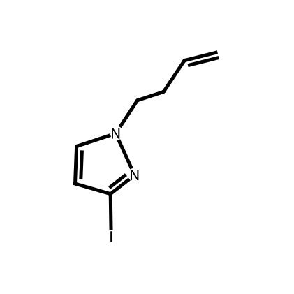 C=CCCn1ccc(I)n1